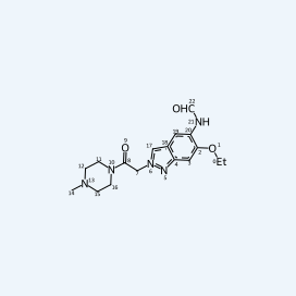 CCOc1cc2nn(CC(=O)N3CCN(C)CC3)cc2cc1NC=O